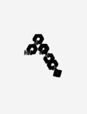 c1cc(N2CCC3(CC2)CCN(C2CCC2)CC3)ncc1[C@H]1CCCCN1C1CCNCC1